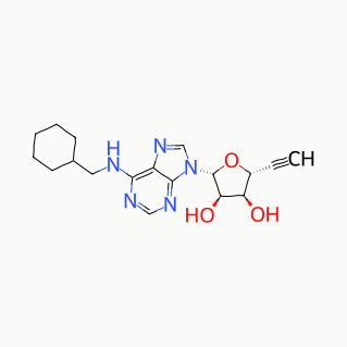 C#C[C@H]1O[C@@H](n2cnc3c(NCC4CCCCC4)ncnc32)[C@H](O)[C@@H]1O